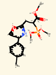 CCCCc1ccc(-c2coc(CC(C(=O)OC(C)(C)C)P(=O)(OCC)OCC)n2)cc1